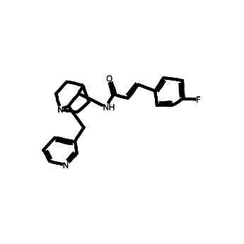 O=C(C=Cc1ccc(F)cc1)NC1C2CCN(CC2)C1Cc1cccnc1